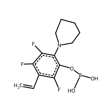 C=Cc1c(F)c(F)c(N2CCCCC2)c(OB(O)O)c1F